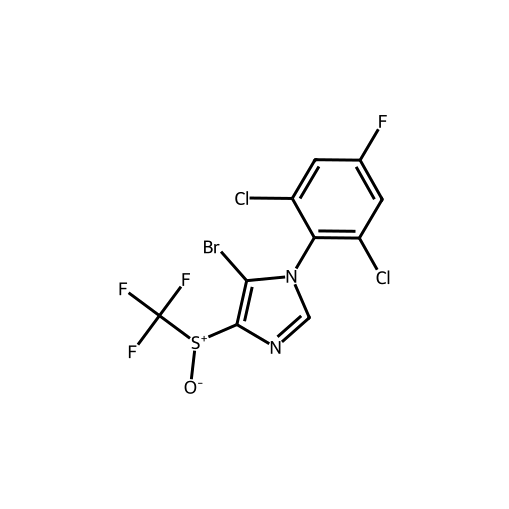 [O-][S+](c1ncn(-c2c(Cl)cc(F)cc2Cl)c1Br)C(F)(F)F